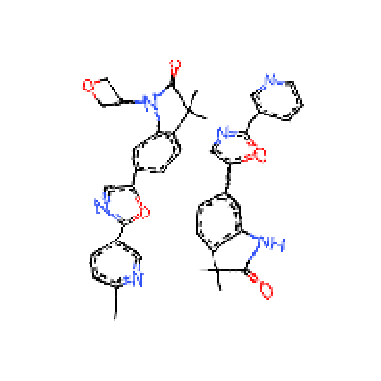 CC1(C)C(=O)Nc2cc(-c3cnc(-c4cccnc4)o3)ccc21.Cc1ccc(-c2ncc(-c3ccc4c(c3)N(C3COC3)C(=O)C4(C)C)o2)cn1